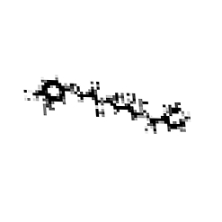 O=C(COc1ccc(Cl)c(F)c1)NCCC(O)CNC(=O)c1ccncn1